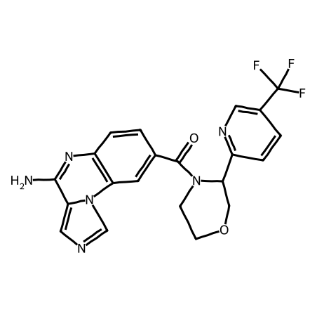 Nc1nc2ccc(C(=O)N3CCOCC3c3ccc(C(F)(F)F)cn3)cc2n2cncc12